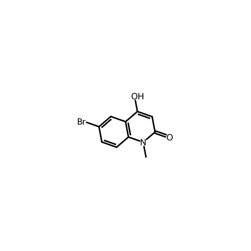 Cn1c(=O)cc(O)c2cc(Br)ccc21